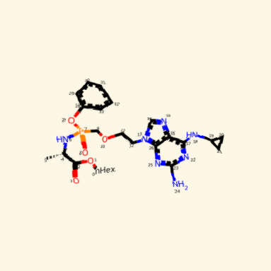 CCCCCCOC(=O)[C@H](C)NP(=O)(COCCn1cnc2c(NC3CC3)nc(N)nc21)Oc1ccccc1